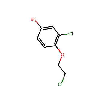 ClCCOc1ccc(Br)cc1Cl